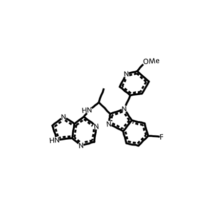 COc1ccc(-n2c(C(C)Nc3ncnc4[nH]cnc34)nc3ccc(F)cc32)cn1